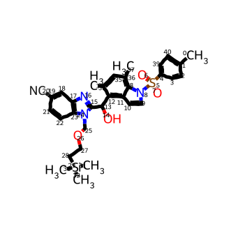 Cc1ccc(S(=O)(=O)n2ccc3c(C(O)c4nc5cc(C#N)ccc5n4COCC[Si](C)(C)C)c(C)cc(C)c32)cc1